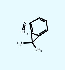 C=S.CC1(C)c2ccccc21